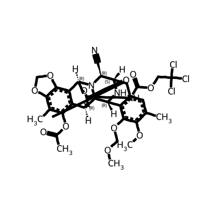 COCOc1c(OC)c(C)cc2c1[C@H]1N[C@@H](C2)[C@H](C#N)N2C1[C@@H]1SCC(NC(=O)OCC(Cl)(Cl)Cl)C(=O)OC[C@H]2c2c3c(c(C)c(OC(C)=O)c21)OCO3